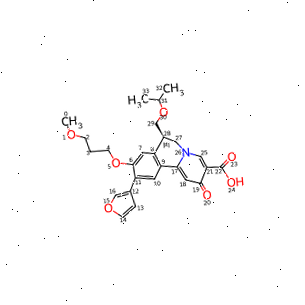 COCCCOc1cc2c(cc1-c1ccoc1)-c1cc(=O)c(C(=O)O)cn1C[C@@H]2COC(C)C